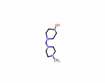 CN1CCN(CN2CCN(O)CC2)CC1